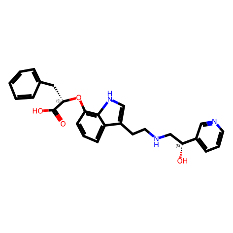 O=C(O)[C@H](Cc1ccccc1)Oc1cccc2c(CCNC[C@@H](O)c3cccnc3)c[nH]c12